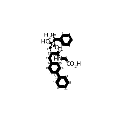 N[C@@H](c1ccccc1)P(=O)(O)C[C@@H](Cc1ccc(-c2ccccc2)cc1)C(=O)NCC(=O)O